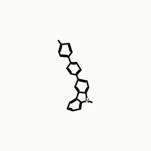 Cc1ccc(-c2ccc(-c3ccc4c(c3)c3ccccc3n4C)cc2)cc1